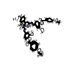 COc1cc(/C=C/C(=O)CC(c2ccc(N)cc2N)C(O)(O)C(=O)/C=C/c2ccc(OC(=O)c3ccc(OCC(F)(F)F)cc3)c(OC)c2)ccc1OC(=O)c1ccc(OCC(F)(F)F)cc1